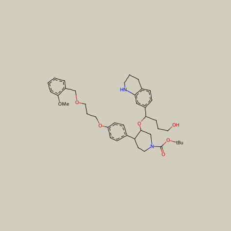 COc1ccccc1COCCCOc1ccc(C2CCN(C(=O)OC(C)(C)C)CC2OC(CCCO)c2ccc3c(c2)NCCC3)cc1